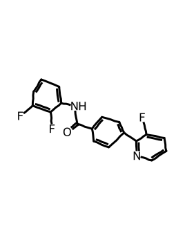 O=C(Nc1cccc(F)c1F)c1ccc(-c2ncccc2F)cc1